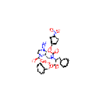 O=C(OCc1ccccc1)C(Cc1ccccc1)N(CC1CNCCN1C(=O)O)C(=O)Oc1ccc([N+](=O)[O-])cc1